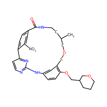 CC1CCNC(=O)c2ccc(c([N+](=O)[O-])c2)-c2ccnc(n2)Nc2ccc(OCC3CCCOC3)c(c2)COC1